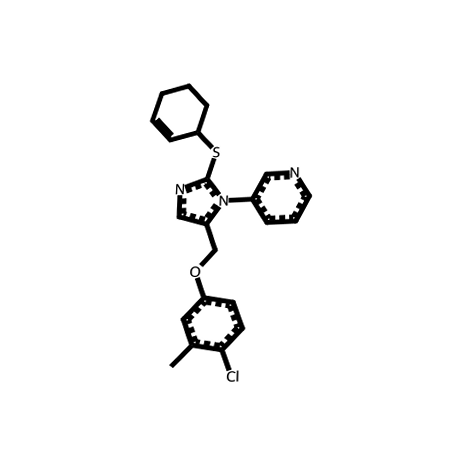 Cc1cc(OCc2cnc(SC3C=CCCC3)n2-c2cccnc2)ccc1Cl